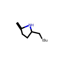 C=C1CCC(CC(C)(C)C)N1